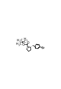 CC(C)(C)OC(=O)N1CCC[C@H]1Cc1ccc(Br)cc1